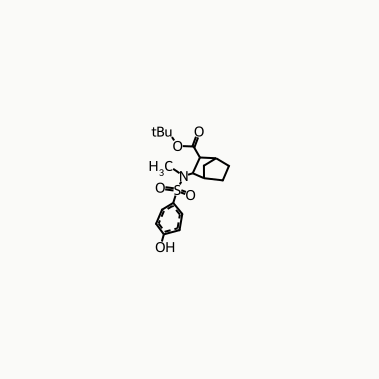 CN(C1C2CCC(C2)C1C(=O)OC(C)(C)C)S(=O)(=O)c1ccc(O)cc1